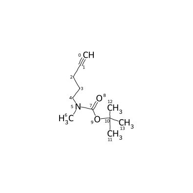 C#CCCCN(C)C(=O)OC(C)(C)C